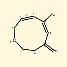 C=C1/C=C(C)\C=C/COCC1